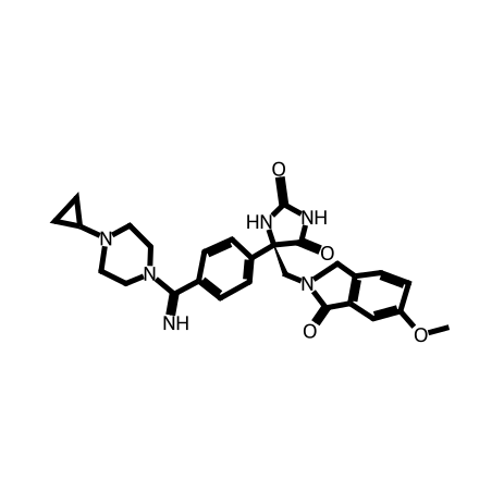 COc1ccc2c(c1)C(=O)N(C[C@@]1(c3ccc(C(=N)N4CCN(C5CC5)CC4)cc3)NC(=O)NC1=O)C2